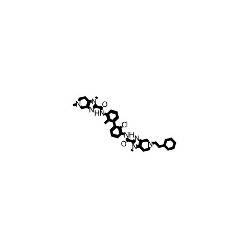 Cc1c(NC(=O)c2nc3c(n2C)CCN(C)C3)cccc1-c1cccc(NC(=O)c2nc3c(n2C)CCN(CCC2CCCCC2)C3)c1Cl